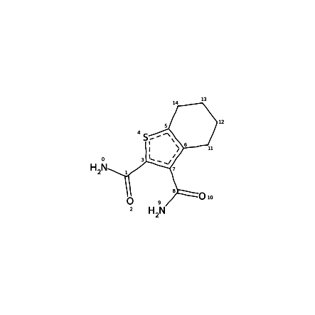 NC(=O)c1sc2c(c1C(N)=O)CCCC2